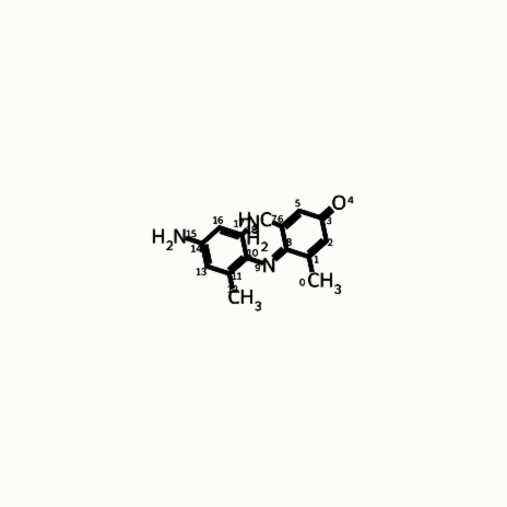 CC1=CC(=O)C=C(C)C1=Nc1c(C)cc(N)cc1N